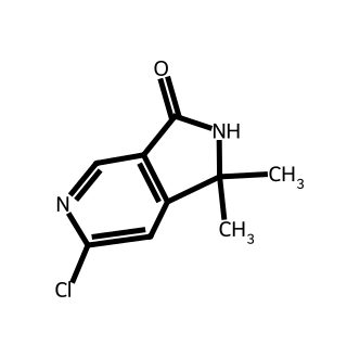 CC1(C)NC(=O)c2cnc(Cl)cc21